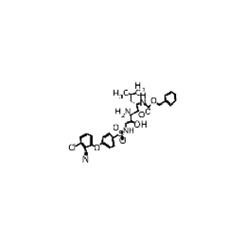 CC(C)C[C@H](NC(=O)OCc1ccccc1)C(=O)C(N)C(O)CNS(=O)(=O)c1ccc(Oc2cccc(Cl)c2C#N)cc1